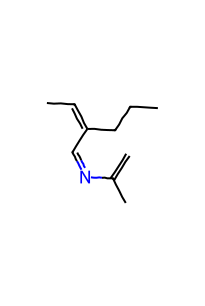 C=C(C)/N=C\C(=C/C)CCC